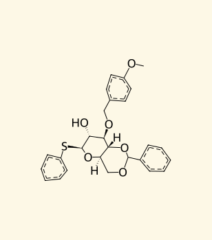 COc1ccc(CO[C@@H]2[C@@H](O)[C@H](Sc3ccccc3)O[C@@H]3COC(c4ccccc4)O[C@@H]23)cc1